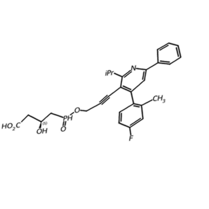 Cc1cc(F)ccc1-c1cc(-c2ccccc2)nc(C(C)C)c1C#CCO[PH](=O)C[C@@H](O)CC(=O)O